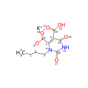 CCCCn1c(C(=O)[O-])c(C(=O)O)c(=O)[nH]c1=O.[K+]